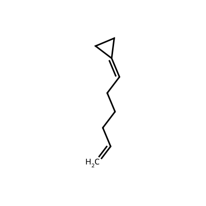 C=CCCCC=C1CC1